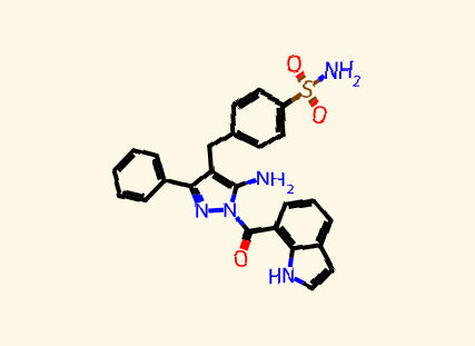 Nc1c(Cc2ccc(S(N)(=O)=O)cc2)c(-c2ccccc2)nn1C(=O)c1cccc2cc[nH]c12